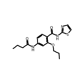 CCCOc1cc(NC(=O)CCC)ccc1C(=O)Nc1nccs1